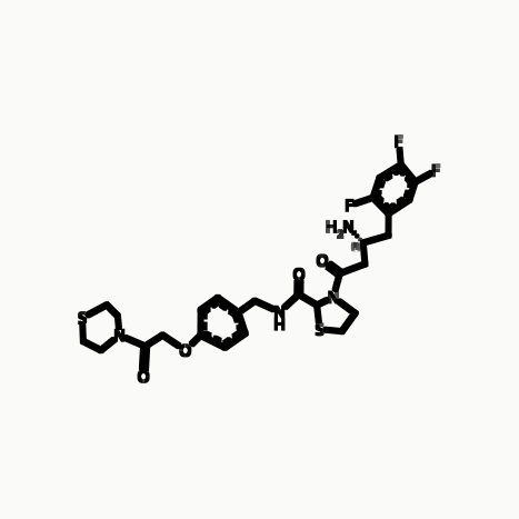 N[C@@H](CC(=O)N1CCSC1C(=O)NCc1ccc(OCC(=O)N2CCSCC2)cc1)Cc1cc(F)c(F)cc1F